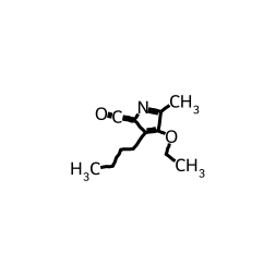 CCCCC1=C(OCC)C(C)=NC1=C=O